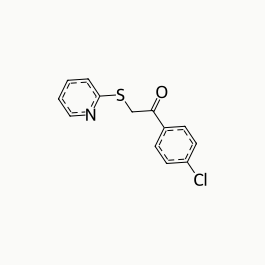 O=C(CSc1ccccn1)c1ccc(Cl)cc1